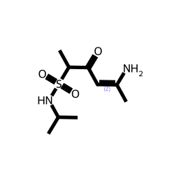 C/C(N)=C/C(=O)C(C)S(=O)(=O)NC(C)C